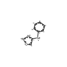 c1ccc([Se]c2conn2)cc1